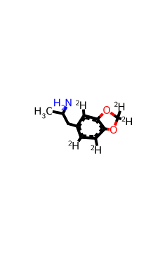 [2H]c1c([2H])c2c(c([2H])c1CC(C)N)OC([2H])([2H])O2